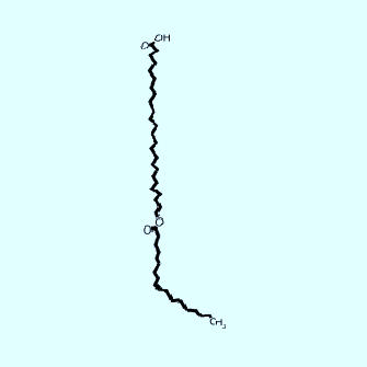 CCCCCCCC/C=C\CCCCCCCC(=O)OCCCCCCCCCCCCCCCCCCCCCCCCC(=O)O